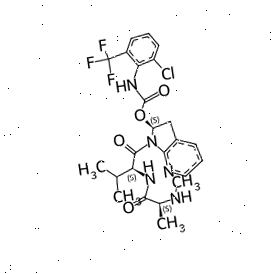 CN[C@@H](C)C(=O)N[C@H](C(=O)N1c2ncccc2C[C@@H]1OC(=O)Nc1c(Cl)cccc1C(F)(F)F)C(C)C